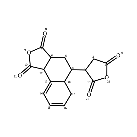 O=C1CC(C2CC3C(=O)OC(=O)C3C3=CC=CCC32)C(=O)O1